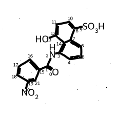 O=C(Nc1cccc2c(S(=O)(=O)O)ccc(O)c12)c1cccc([N+](=O)[O-])c1